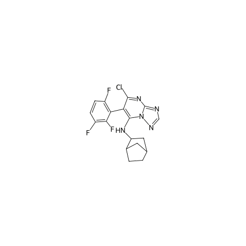 Fc1ccc(F)c(-c2c(Cl)nc3ncnn3c2NC2CC3CCC2C3)c1F